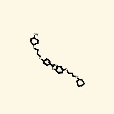 O[C@H]1CC[C@H](CCCCOc2ccc(-c3nc4ccc(OCCCNC5CCCCC5)cc4o3)cc2)CC1